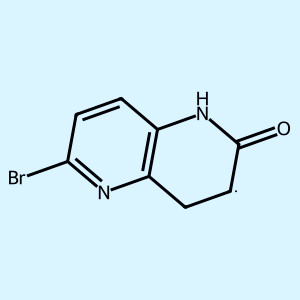 O=C1[CH]Cc2nc(Br)ccc2N1